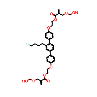 C=C(COCO)C(=O)OCCOc1ccc(-c2ccc(-c3ccc(OCCOC(=O)C(=C)COCO)cc3)c(CCCCF)c2)cc1